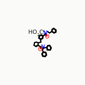 O=C(O)CN(CCc1ccccc1)C(=O)c1cccc(CC2CCCC=C2c2nc(-c3ccccc3)c(-c3ccccc3)o2)c1